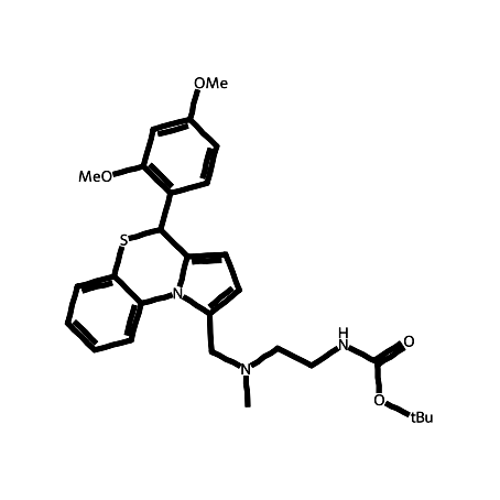 COc1ccc(C2Sc3ccccc3-n3c(CN(C)CCNC(=O)OC(C)(C)C)ccc32)c(OC)c1